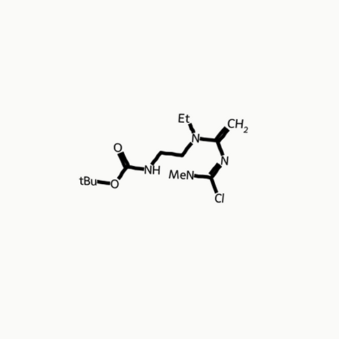 C=C(/N=C(/Cl)NC)N(CC)CCNC(=O)OC(C)(C)C